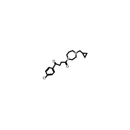 O=C(CCC(=O)N1CCCN(CC2CC2)CC1)c1ccc(Cl)cc1